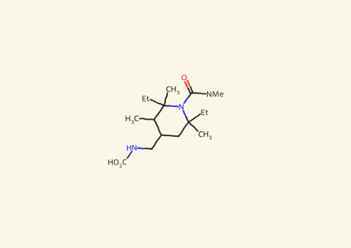 CCC1(C)CC(CNC(=O)O)C(C)C(C)(CC)N1C(=O)NC